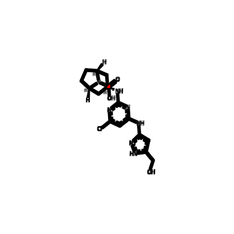 O=C(O)N1[C@@H]2CC[C@H]1C[C@@H](Nc1nc(Cl)cc(Nc3cc(CO)[nH]n3)n1)C2